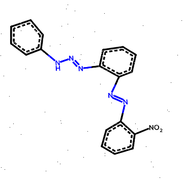 O=[N+]([O-])c1ccccc1/N=N/c1ccccc1/N=N/Nc1ccccc1